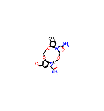 Cc1ccc2c(c1)OCCOc1cc(C=O)ccc1N(CC(N)=O)CCOCCN2CC(N)=O